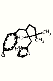 CC1(C)CCC(Cc2ccc(Cl)cc2)C1(O)Cc1ncc[nH]1